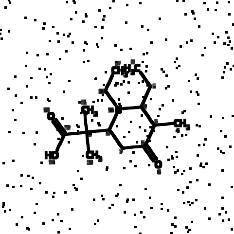 CCC1C(C)C(=O)CC(C(C)(C)C(=O)O)N1CC